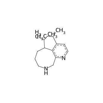 CC(C)c1ccnc2c1C(C(C)C)CCCNC2